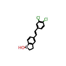 OB1CCc2cc(/C=C/c3ccc(Cl)c(Cl)c3)ccc21